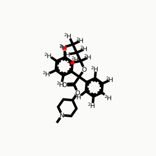 [2H]c1c([2H])c([2H])c(C(OC([2H])([2H])C([2H])([2H])C([2H])([2H])[2H])(C(=O)OC2CCN(C)CC2)c2c([2H])c([2H])c([2H])c([2H])c2[2H])c([2H])c1[2H]